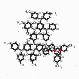 Cc1ccc(N(c2ccc(C)cc2)c2cc3c4c(c2)N(c2ccccc2)c2ccccc2B4c2cc4c(cc2N3)N(c2c(C)cc(C)cc2C)c2cc(N(c3ccc(C)cc3)c3ccc(C)cc3)cc3c2B4c2cc4c(cc2O3)N(c2c(C)cc(C)cc2C)c2cc(N(c3ccc(C)cc3)c3ccc(C)cc3)cc3c2B4c2ccccc2N3c2ccccc2)cc1